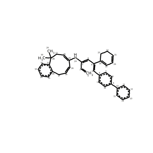 C=C/C(=C\C(=C\c1ccc(-c2ccccc2)cc1)C1=CC=CCC1)NC1=C/CC(C)(C)c2ccccc2C/C=C\1